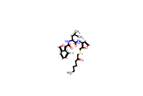 CCCCCC(=O)CSCc1occc1NC(=O)C(CC(C)C)NC(=O)c1occ2cccc(F)c12